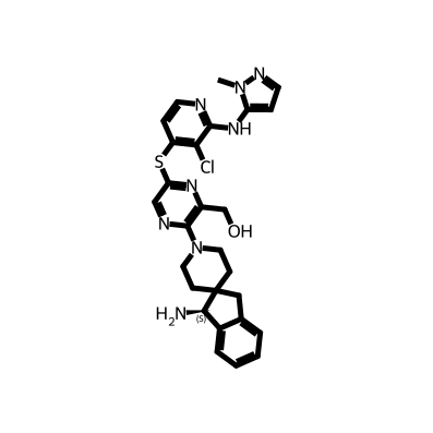 Cn1nccc1Nc1nccc(Sc2cnc(N3CCC4(CC3)Cc3ccccc3[C@H]4N)c(CO)n2)c1Cl